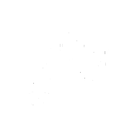 OC(CN1c2cccc(-c3cccc(OC(F)(F)F)c3)c2OCC1c1cccc(C(F)(F)F)c1)C(F)(F)F